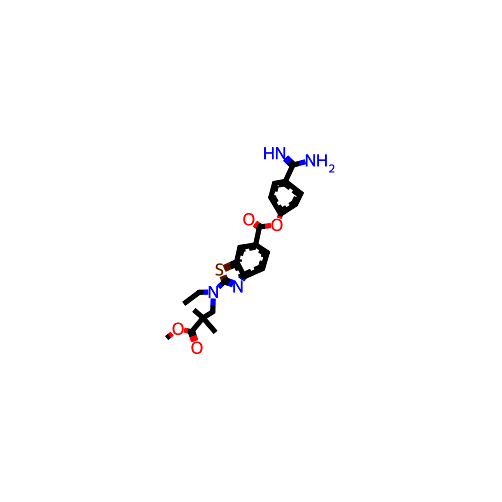 CCN(CC(C)(C)C(=O)OC)c1nc2ccc(C(=O)Oc3ccc(C(=N)N)cc3)cc2s1